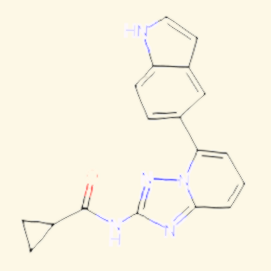 O=C(Nc1nc2cccc(-c3ccc4[nH]ccc4c3)n2n1)C1CC1